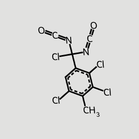 Cc1c(Cl)cc(C(Cl)(N=C=O)N=C=O)c(Cl)c1Cl